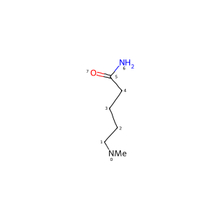 CNCCCCC(N)=O